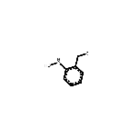 CCc1ccccc1PO